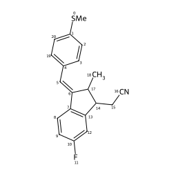 CSc1ccc(C=C2c3ccc(F)cc3C(CC#N)C2C)cc1